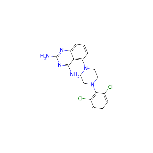 Nc1nc(N)c2c(N3CCN(C4=C(Cl)[CH]CC=C4Cl)CC3)cccc2n1